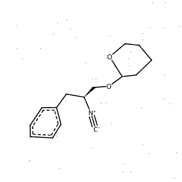 [C-]#[N+][C@H](COC1CCCCO1)Cc1ccccc1